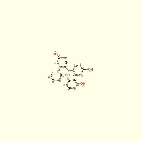 Oc1ccc(Cc2ccc(O)cc2-c2ccccc2O)c(-c2ccccc2O)c1